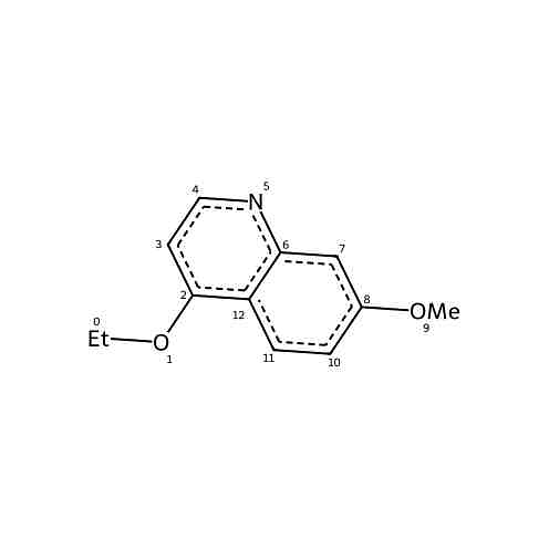 CCOc1ccnc2cc(OC)ccc12